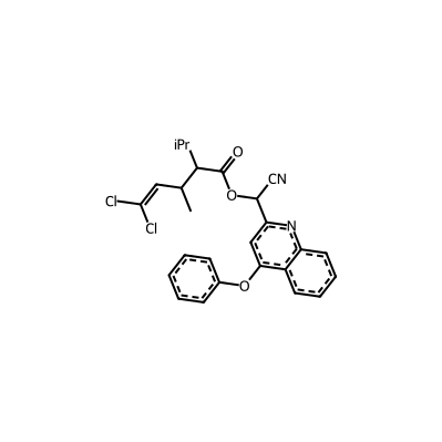 CC(C)C(C(=O)OC(C#N)c1cc(Oc2ccccc2)c2ccccc2n1)C(C)C=C(Cl)Cl